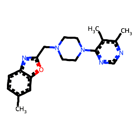 Cc1ccc2nc(CN3CCN(c4ncnc(C)c4C)CC3)oc2c1